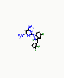 Nc1[c]c(N)nc(-n2nc(Cc3c(F)ccc(F)c3F)c3cc(F)ccc32)n1